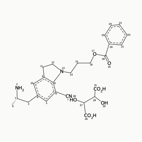 C[C@H](N)Cc1cc(C#N)c2c(c1)CCN2CCCOC(=O)c1ccccc1.O=C(O)C(O)C(O)C(=O)O